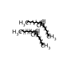 CCCCCCCC[Si](Cl)(Cl)CCCCCCCC.CCCCCCCC[Si](Cl)(Cl)CCCCCCCC